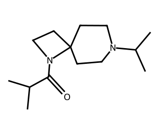 CC(C)C(=O)N1CCC12CCN(C(C)C)CC2